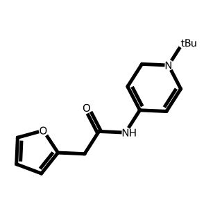 CC(C)(C)N1C=CC(NC(=O)Cc2ccco2)=CC1